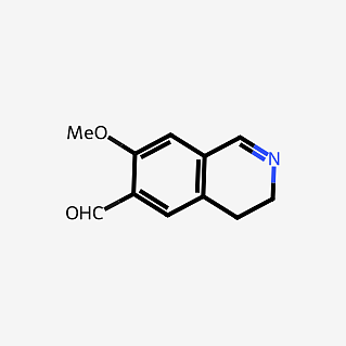 COc1cc2c(cc1C=O)CCN=C2